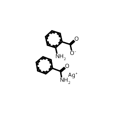 NC(=O)c1ccccc1.Nc1ccccc1C(=O)[O-].[Ag+]